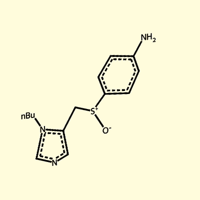 CCCCn1cncc1C[S+]([O-])c1ccc(N)cc1